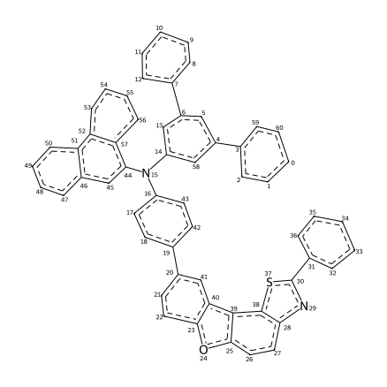 c1ccc(-c2cc(-c3ccccc3)cc(N(c3ccc(-c4ccc5oc6ccc7nc(-c8ccccc8)sc7c6c5c4)cc3)c3cc4ccccc4c4ccccc34)c2)cc1